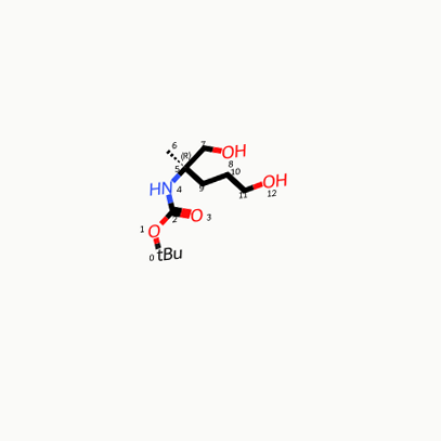 CC(C)(C)OC(=O)N[C@@](C)(CO)CCCO